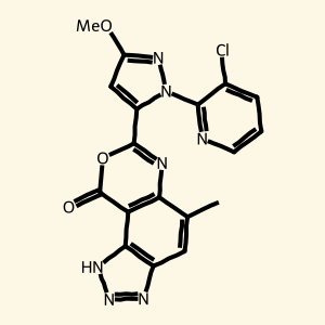 COc1cc(-c2nc3c(C)cc4nn[nH]c4c3c(=O)o2)n(-c2ncccc2Cl)n1